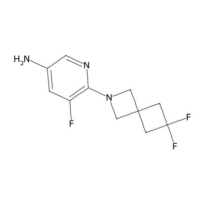 Nc1cnc(N2CC3(C2)CC(F)(F)C3)c(F)c1